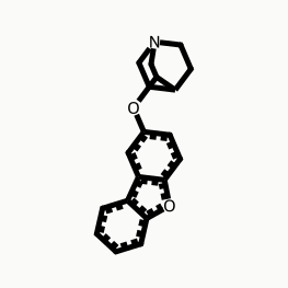 c1ccc2c(c1)oc1ccc(OC3CN4CCC3CC4)cc12